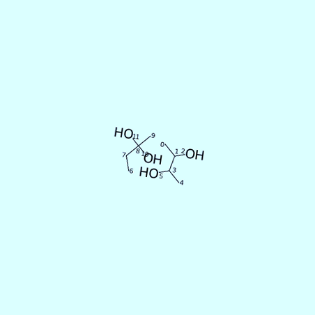 CC(O)C(C)O.CCC(C)(O)O